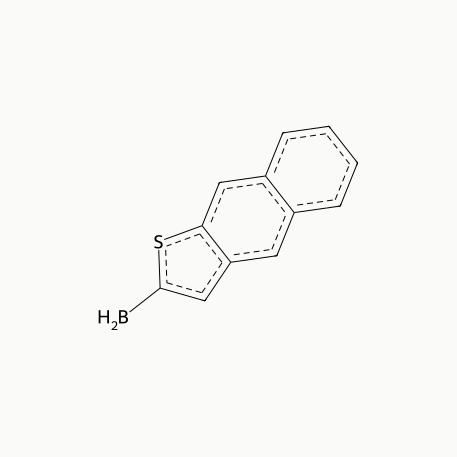 Bc1cc2cc3ccccc3cc2s1